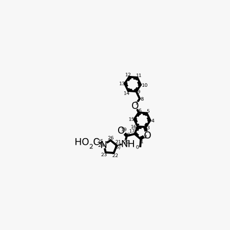 Cc1oc2ccc(OCc3ccccc3)cc2c1C(=O)N[C@H]1CCN(C(=O)O)C1